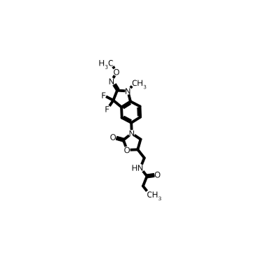 CCC(=O)NCC1CN(c2ccc3c(c2)C(F)(F)C(=NOC)N3C)C(=O)O1